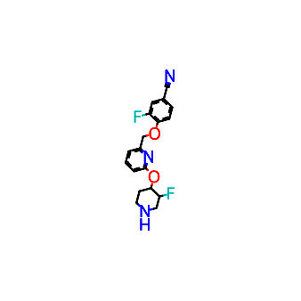 N#Cc1ccc(OCc2cccc(OC3CCNCC3F)n2)c(F)c1